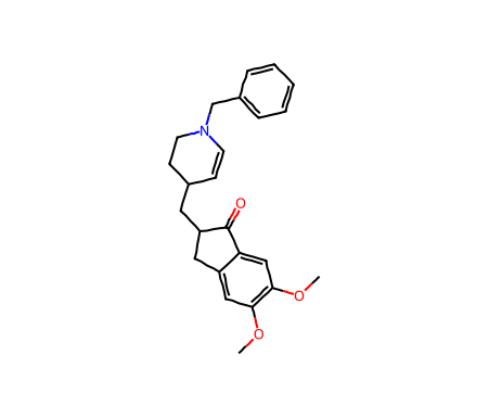 COc1cc2c(cc1OC)C(=O)C(CC1C=CN(Cc3ccccc3)CC1)C2